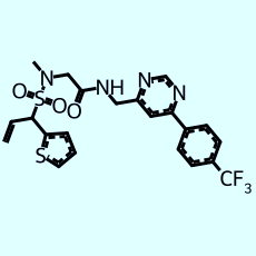 C=CC(c1cccs1)S(=O)(=O)N(C)CC(=O)NCc1cc(-c2ccc(C(F)(F)F)cc2)ncn1